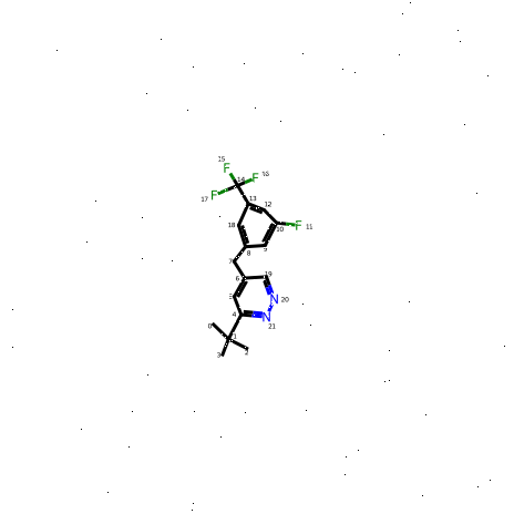 CC(C)(C)c1cc(Cc2cc(F)cc(C(F)(F)F)c2)cnn1